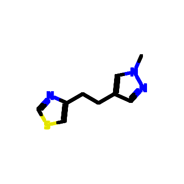 Cn1cc(CCc2cscn2)cn1